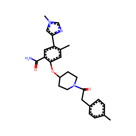 Cc1ccc(CC(=O)N2CCC(Oc3cc(C)c(-c4cn(C)cn4)cc3C(N)=O)CC2)cc1